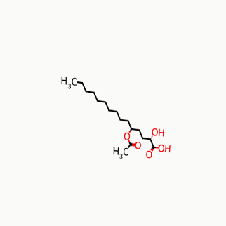 CCCCCCCCCCC(CC[C@H](O)C(=O)O)OC(C)=O